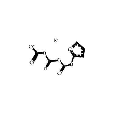 O=C([O-])OC(=O)OC(=O)Oc1ccco1.[K+]